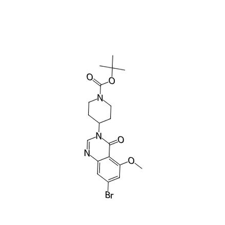 COc1cc(Br)cc2ncn(C3CCN(C(=O)OC(C)(C)C)CC3)c(=O)c12